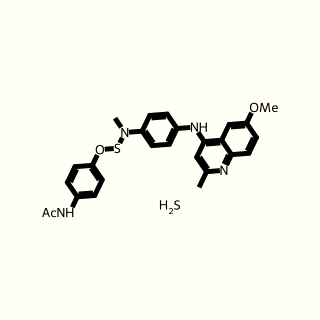 COc1ccc2nc(C)cc(Nc3ccc(N(C)SOc4ccc(NC(C)=O)cc4)cc3)c2c1.S